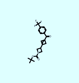 CC(C)(C)OC(=O)N1CC(C23CC(C(=O)c4ccc(C(F)(F)F)cc4)(C2)C3)C1